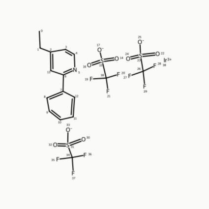 CCc1ccnc(-c2ccccc2)c1.O=S(=O)([O-])C(F)(F)F.O=S(=O)([O-])C(F)(F)F.O=S(=O)([O-])C(F)(F)F.[Ir+3]